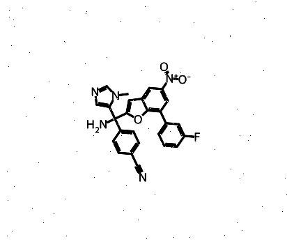 Cn1cncc1C(N)(c1ccc(C#N)cc1)c1cc2cc([N+](=O)[O-])cc(-c3cccc(F)c3)c2o1